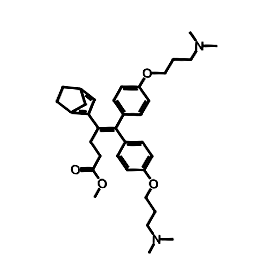 COC(=O)CCC(C1=C2CCC(=C1)C2)=C(c1ccc(OCCCN(C)C)cc1)c1ccc(OCCCN(C)C)cc1